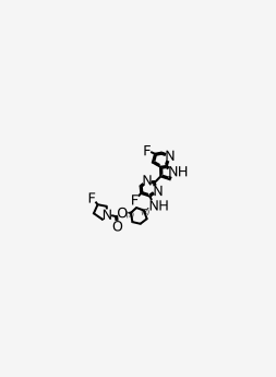 O=C(O[C@H]1CCC[C@@H](Nc2nc(-c3c[nH]c4ncc(F)cc34)ncc2F)C1)N1CCC(F)C1